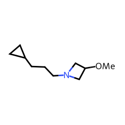 COC1CN(CCCC2CC2)C1